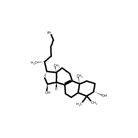 CC(C)CCC[C@@H](C)[C@H]1C[C@H](O)[C@H]2C3=C(CC[C@]12C)[C@@]1(C)CC[C@H](O)C(C)(C)C1CC3